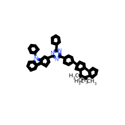 CC1(C)c2ccccc2-c2ccc(-c3ccc(-c4nc(-c5ccccc5)nc(-c5ccc6c7ccccc7n(-c7ccccc7)c6c5)n4)cc3)cc2C1(C)C